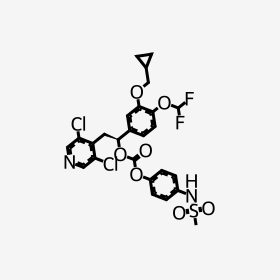 CS(=O)(=O)Nc1ccc(OC(=O)O[C@@H](Cc2c(Cl)cncc2Cl)c2ccc(OC(F)F)c(OCC3CC3)c2)cc1